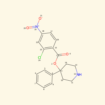 O=C(OC1(c2ccccc2)CCNCC1)c1ccc([N+](=O)[O-])cc1Cl